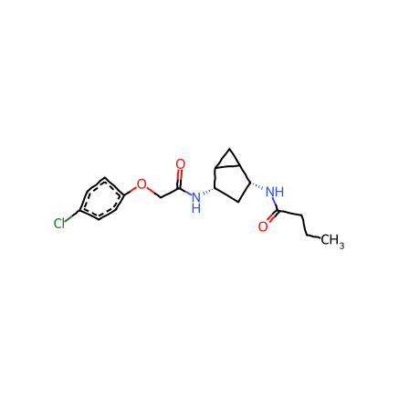 CCCC(=O)N[C@@H]1C[C@H](NC(=O)COc2ccc(Cl)cc2)C2CC21